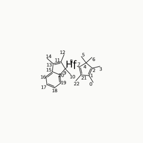 CC1=C(C)C(C)(C)[C]([Hf][C]2(C)C(C)=C(C)c3ccccc32)=C1C